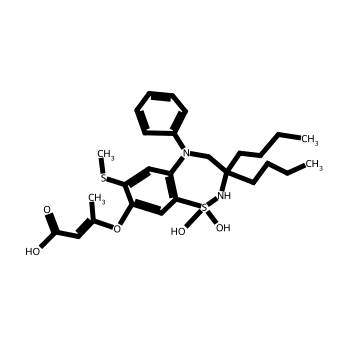 CCCCC1(CCCC)CN(c2ccccc2)c2cc(SC)c(O/C(C)=C/C(=O)O)cc2S(O)(O)N1